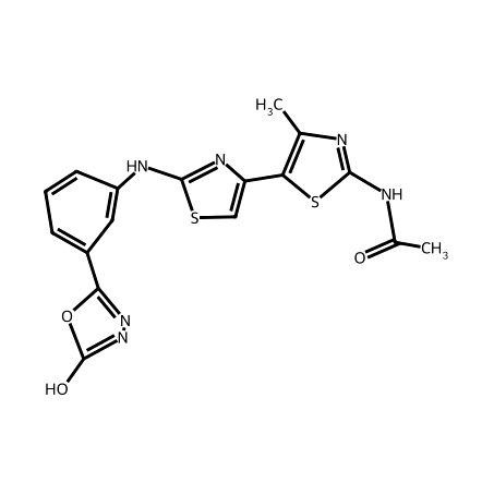 CC(=O)Nc1nc(C)c(-c2csc(Nc3cccc(-c4nnc(O)o4)c3)n2)s1